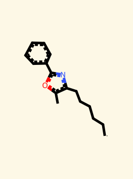 [CH2]CCCCCc1nc(-c2ccccc2)oc1C